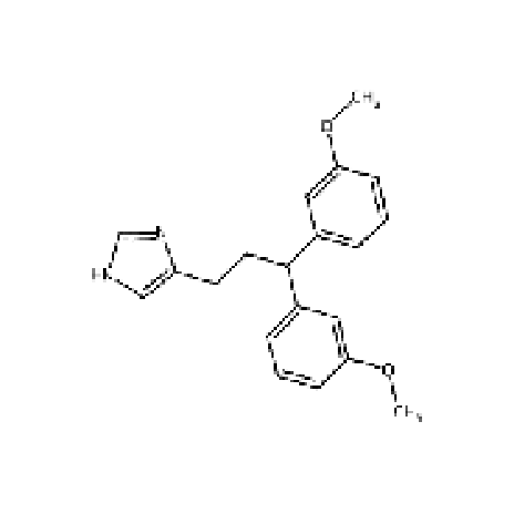 COc1cccc(C(CCc2c[nH]cn2)c2cccc(OC)c2)c1